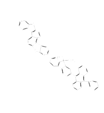 CC1(C)c2cc(-c3ccc4c(c3)sc3ccc5c(ccc6sc7ccccc7c65)c34)ccc2-c2ccc(-c3c4ccccc4c(-c4ccccc4)c4ccccc34)cc21